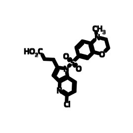 CN1CCOc2cc(S(=O)(=O)n3c(CCC(=O)O)cc4nc(Cl)ccc43)ccc21